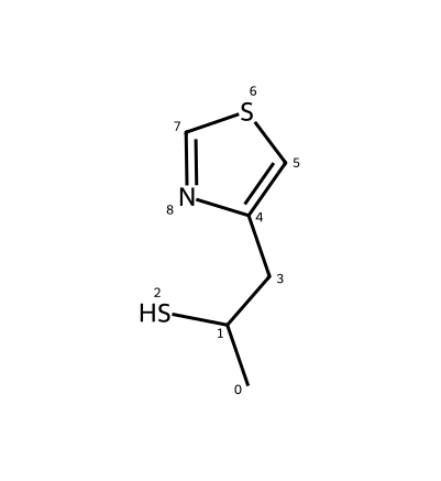 CC(S)Cc1cscn1